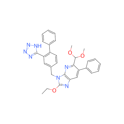 CCOc1nc2cc(-c3ccccc3)c(C(OC)OC)nc2n1Cc1ccc(-c2ccccc2)c(-c2nnn[nH]2)c1